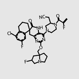 C=C(F)C(=O)N1CCN(c2nc(OCC34CCCN3CC(F)C4)nc3c2NC(=O)C2(CCCc4c(Cl)cc(F)cc42)C3)CC1CC#N